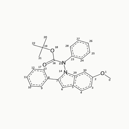 COc1ccc2cc(-c3ccccc3)n(N(C(=O)OC(C)(C)C)c3ccccc3)c2c1